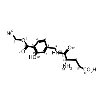 N#CCOC(=O)c1ccc(CNC(=O)[C@@H](N)CCC(=O)O)cc1O